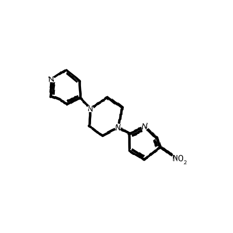 O=[N+]([O-])c1ccc(N2CCN(c3ccncc3)CC2)nc1